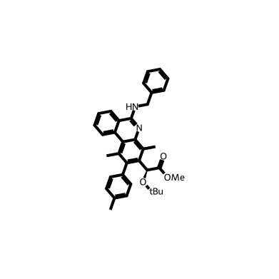 COC(=O)[C@@H](OC(C)(C)C)c1c(-c2ccc(C)cc2)c(C)c2c(nc(NCc3ccccc3)c3ccccc32)c1C